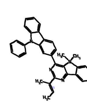 C/C=C(\C)c1nc(-c2ccc3c4ccccc4n(-c4ccccc4)c3c2)c2c(n1)-c1ccccc1[Si]2(C)C